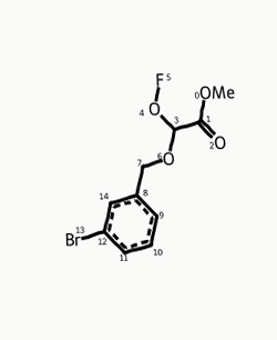 COC(=O)C(OF)OCc1cccc(Br)c1